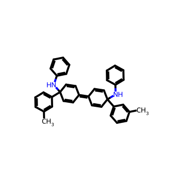 Cc1cccc(C2(Nc3ccccc3)C=CC(=C3C=CC(Nc4ccccc4)(c4cccc(C)c4)C=C3)C=C2)c1